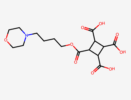 O=C(O)C1C(C(=O)O)C(C(=O)OCCCCN2CCOCC2)C1C(=O)O